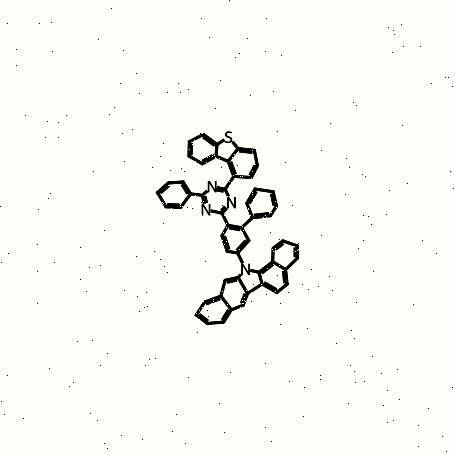 c1ccc(-c2nc(-c3ccc(-n4c5cc6ccccc6cc5c5ccc6ccccc6c54)cc3-c3ccccc3)nc(-c3cccc4sc5ccccc5c34)n2)cc1